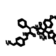 CCOc1ccc([C@@](C(N)=O)(C(=O)NC[C@H](C(=O)NCc2ccc(CN)cc2)c2ccccc2)c2nc(C)c(C(=O)O)s2)cc1